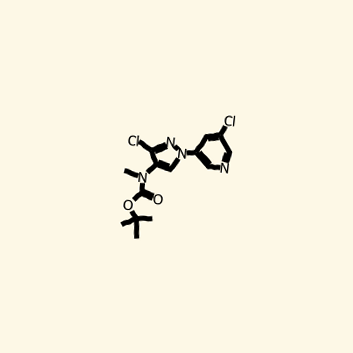 CN(C(=O)OC(C)(C)C)c1cn(-c2cncc(Cl)c2)nc1Cl